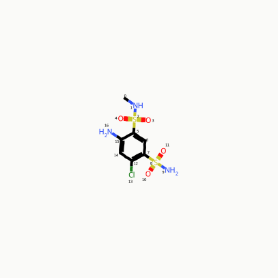 CNS(=O)(=O)c1cc(S(N)(=O)=O)c(Cl)cc1N